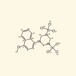 COc1ccc(N2CN(C(Cl)(Cl)Cl)CN(C(Cl)(Cl)Cl)C2)c2ccccc12